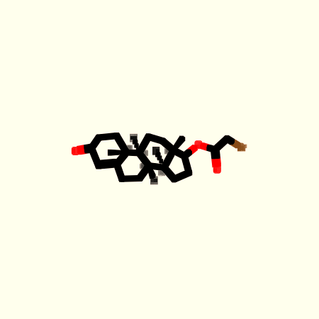 C[C@]12CCC(=O)C=C1CC[C@@H]1[C@@H]2CC[C@]2(C)C(OC(=O)CBr)CC[C@@H]12